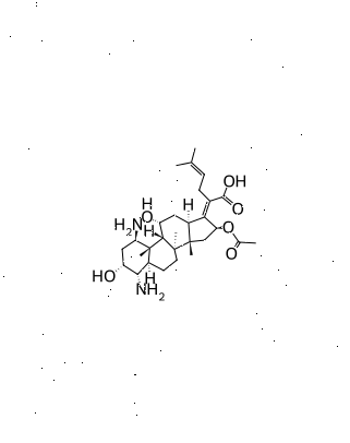 CC(=O)O[C@H]1C[C@@]2(C)[C@@H](C[C@@H](O)[C@H]3[C@@]4(C)[C@H](N)C[C@@H](O)[C@@H](N)[C@@H]4CC[C@@]32C)/C1=C(\CC=C(C)C)C(=O)O